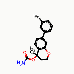 CC(C)c1cccc(-c2ccc3c(c2)OCCC3(C)OC(N)=O)c1